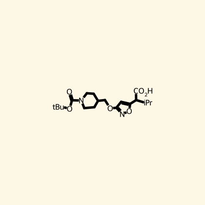 CC(C)C(C(=O)O)c1cc(OCC2CCN(C(=O)OC(C)(C)C)CC2)no1